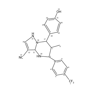 CC1C(c2ccc(C(F)(F)F)cc2)NC2C(C#N)=CNN2C1c1ccc(O)cc1